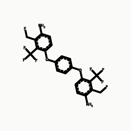 Nc1ccc(Oc2ccc(Oc3ccc(N)c(CF)c3C(F)(F)F)cc2)c(C(F)(F)F)c1CF